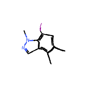 Cc1cc(I)c2c(cnn2C)c1C